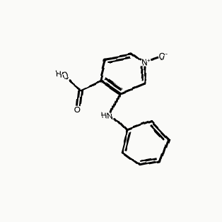 O=C(O)c1cc[n+]([O-])cc1Nc1ccccc1